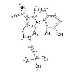 Cc1ccc(O)c(C)c1-n1c(N)c(C(N)=O)c2cnc(C#CC(C)(C)O)nc21